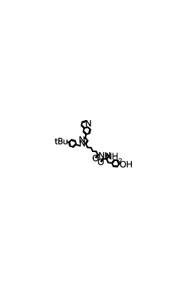 CC(C)(C)c1ccc(Cn2nc(-c3ccc4ncccc4c3)cc2CCCCC(=O)NC(=O)C(N)Cc2ccc(O)cc2)cc1